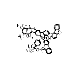 CC(C)(C)c1ccc(Nc2cc3c(cc2-c2ccc4c5c6c(ccc5n5c4c2Bc2cc4sc7ccccc7c4cc2-5)oc2ccccc26)sc2cc4c(cc23)C(C)(C)CCC4(C)C)cc1